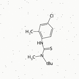 Cc1cc(Cl)ccc1NC(=S)N(C)C(C)(C)C